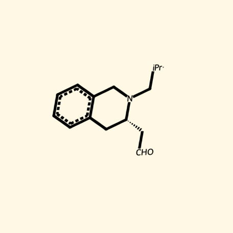 C[C](C)CN1Cc2ccccc2C[C@H]1CC=O